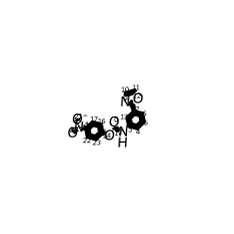 O=C(Nc1cccc(-c2ncco2)c1)Oc1ccc([N+](=O)[O-])cc1